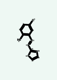 Oc1ccc(Cl)cc1N=Nc1nccs1